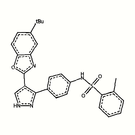 Cc1ccccc1S(=O)(=O)Nc1ccc(-c2n[nH]cc2-c2nc3cc(C(C)(C)C)ccc3o2)cc1